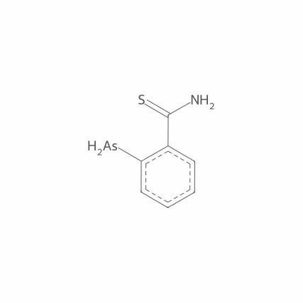 NC(=S)c1ccccc1[AsH2]